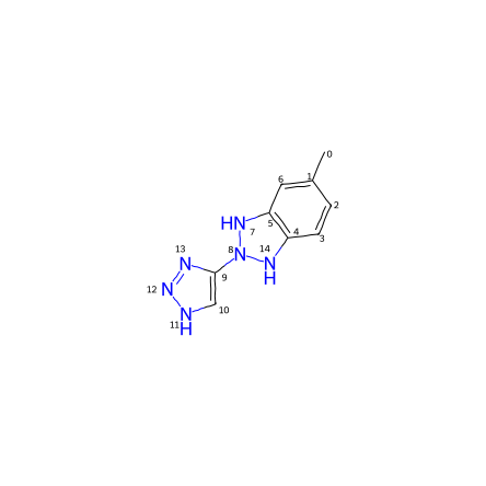 Cc1ccc2c(c1)NN(c1c[nH]nn1)N2